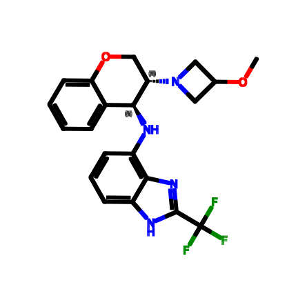 COC1CN([C@H]2COc3ccccc3[C@@H]2Nc2cccc3[nH]c(C(F)(F)F)nc23)C1